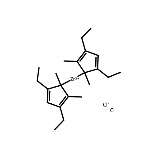 CCC1=CC(CC)=C(C)[C]1(C)[Zr+2][C]1(C)C(CC)=CC(CC)=C1C.[Cl-].[Cl-]